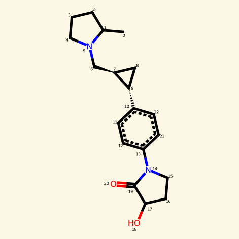 CC1CCCN1C[C@H]1C[C@@H]1c1ccc(N2CCC(O)C2=O)cc1